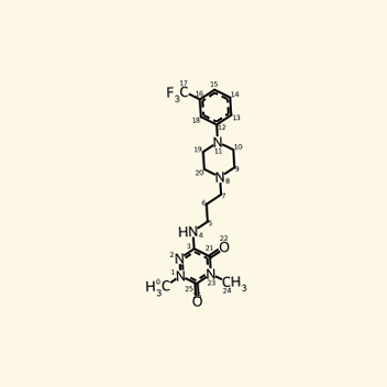 Cn1nc(NCCCN2CCN(c3cccc(C(F)(F)F)c3)CC2)c(=O)n(C)c1=O